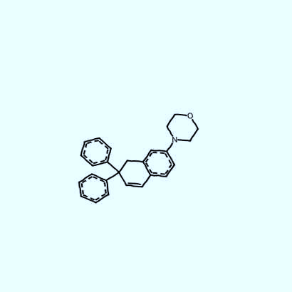 C1=CC(c2ccccc2)(c2ccccc2)Cc2cc(N3CCOCC3)ccc21